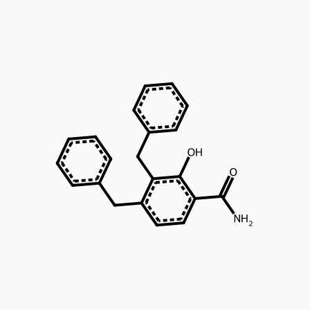 NC(=O)c1ccc(Cc2ccccc2)c(Cc2ccccc2)c1O